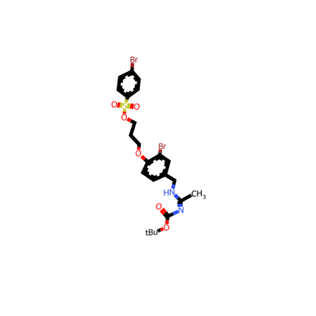 C/C(=N/C(=O)OC(C)(C)C)NCc1ccc(OCCCOS(=O)(=O)c2ccc(Br)cc2)c(Br)c1